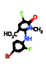 Cn1c(Nc2ccc(Br)cc2F)c(C(=O)O)cc(F)c1=O